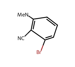 CNc1cccc(Br)c1C#N